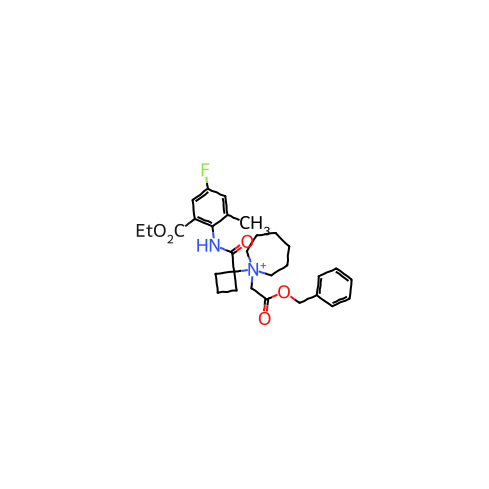 CCOC(=O)c1cc(F)cc(C)c1NC(=O)C1([N+]2(CC(=O)OCc3ccccc3)CCCCCC2)CCC1